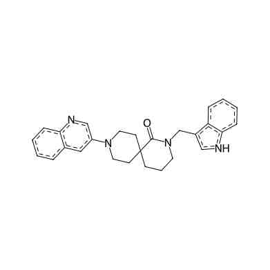 O=C1N(Cc2c[nH]c3ccccc23)CCCC12CCN(c1cnc3ccccc3c1)CC2